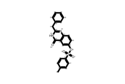 Cc1ccc(S(=O)(=O)Oc2ccc3nc(Cc4ccccc4)[nH]c(=O)c3c2)cc1